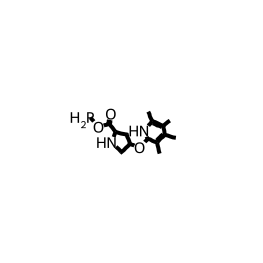 CC1=C(C)C(C)=C(C)C(OC2CNC(C(=O)OP)C2)N1